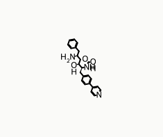 N[C@@H](Cc1ccccc1)C[C@H](O)[C@H](Cc1ccc(-c2ccncc2)cc1)NC(=O)O